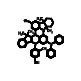 Cc1cc(C(C)(C)C)ccc1N1C2=C(B3c4cc(C(C)(C)C)cc5c4N(c4cc(N(c6ccccc6)c6ccccc6)cc1c43)C1(C)CCCCC51C)C(C)(C)c1ccccc12